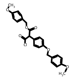 COc1ccc(COC(=O)C(C(=O)Cl)c2ccc(OCc3ccc(OC)cc3)cc2)cc1